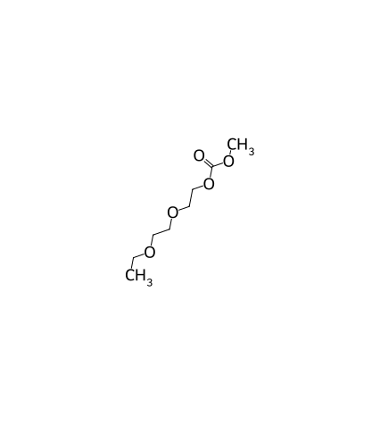 CCOCCOCCOC(=O)OC